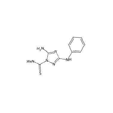 CNC(=S)n1nc(Nc2ccccc2)nc1N